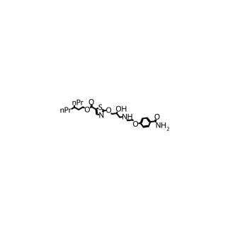 CCCC(CCC)CCOC(=O)c1cnc(OCC(O)CNCCOc2ccc(C(N)=O)cc2)s1